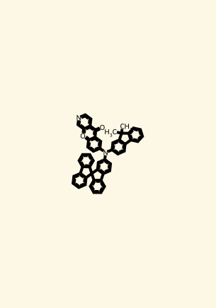 CC1(C)c2ccccc2-c2ccc(N(c3ccc4c(c3)C3(c5ccccc5-c5ccccc53)c3ccccc3-4)c3ccc4oc5cnccc5c(=O)c4c3)cc21